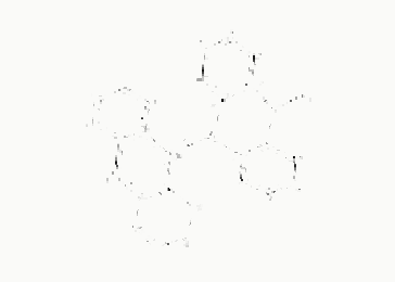 C1=Cc2nc3ccccc3nc2CC1.CN1c2ccccc2N(C)c2ccccc21